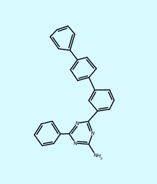 Nc1nc(-c2ccccc2)nc(-c2cccc(-c3ccc(-c4ccccc4)cc3)c2)n1